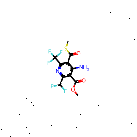 COC(=O)c1c(C(F)F)nc(C(F)(F)F)c(C(=O)SC)c1N